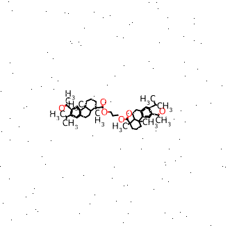 CC(=O)c1cc2c(cc1C(C)C)CCC1C(C)(C(=O)OCCCOC(=O)C3(C)CCCC4(C)c5cc(C(C)=O)c(C(C)C)cc5CCC34)CCCC21C